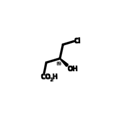 O=C(O)C[C@H](O)CCl